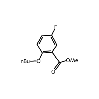 CCCCOc1ccc(F)cc1C(=O)OC